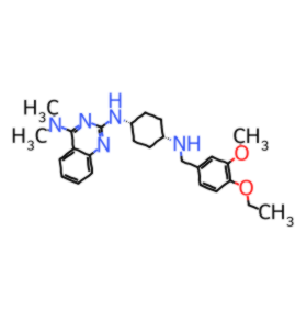 CCOc1ccc(CN[C@H]2CC[C@@H](Nc3nc(N(C)C)c4ccccc4n3)CC2)cc1OC